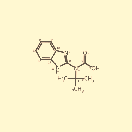 CC(C)(C)N(C(=O)O)c1nc2ccccc2[nH]1